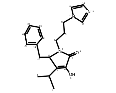 CC(C)C1=C(O)C(=O)N(CCCn2ccnc2)C1Cc1ccccc1